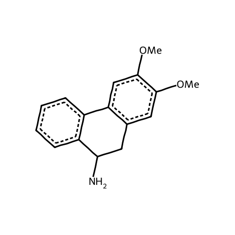 COc1cc2c(cc1OC)-c1ccccc1C(N)C2